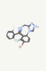 Fc1cccc(F)c1C1=NCC2=NNCN2c2ccc(Br)c(Cl)c21